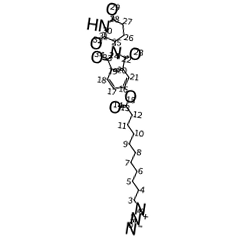 [N-]=[N+]=NCCCCCCCCCCC(=O)Oc1ccc2c(c1)C(=O)N(C1CCC(=O)NC1=O)C2=O